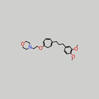 COc1ccc(CCCC2=CCC(OCCN3CCOCC3)=CC=C2)cc1OC